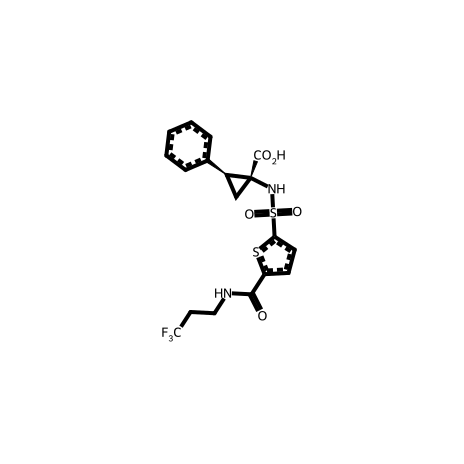 O=C(NCCC(F)(F)F)c1ccc(S(=O)(=O)N[C@]2(C(=O)O)C[C@H]2c2ccccc2)s1